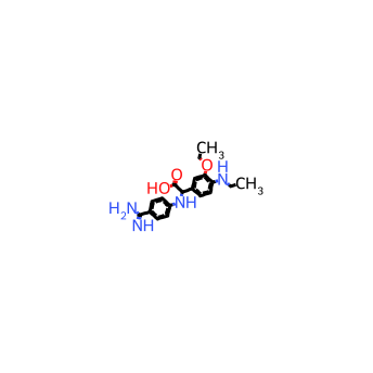 CCNc1ccc(C(Nc2ccc(C(=N)N)cc2)C(=O)O)cc1OCC